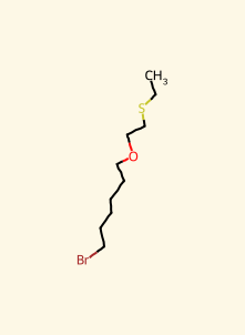 CCSCCOCCCCCCBr